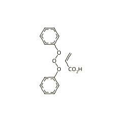 C=CC(=O)O.c1ccc(OOOc2ccccc2)cc1